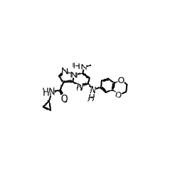 CNc1cc(Nc2ccc3c(c2)OCCO3)nc2c(C(=O)NC3CC3)cnn12